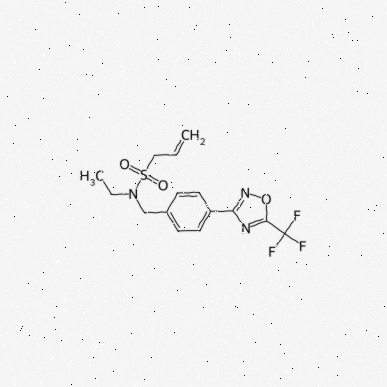 C=CCS(=O)(=O)N(CC)Cc1ccc(-c2noc(C(F)(F)F)n2)cc1